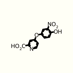 O=C(O)c1cc(Oc2ccc(O)c([N+](=O)[O-])c2)ccn1